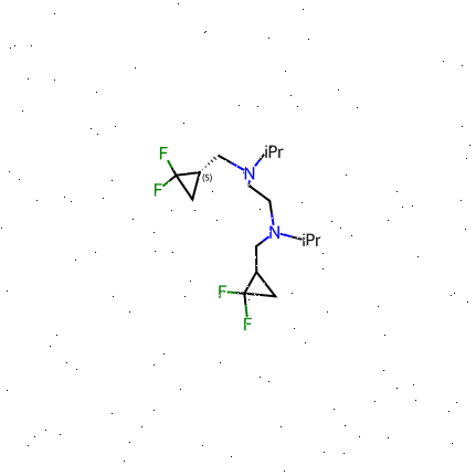 CC(C)N(CCN(C[C@@H]1CC1(F)F)C(C)C)CC1CC1(F)F